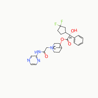 O=C(C[N+]12CCC(CC1)C(OC(=O)[C@](O)(c1ccccc1)C1CCC(F)(F)C1)C2)Nc1cnccn1